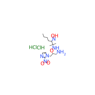 CCCCC(=NO)C(C)(C)NOC(CN)Cn1ccnc1[N+](=O)[O-].Cl.Cl